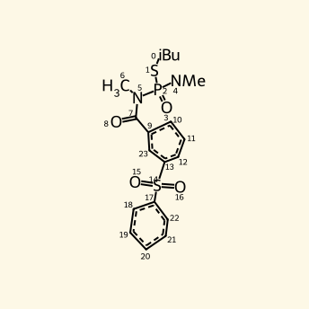 CCC(C)SP(=O)(NC)N(C)C(=O)c1cccc(S(=O)(=O)c2ccccc2)c1